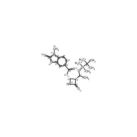 CC(O[Si](C)(C)C(C)(C)C)[C@H]1C(=O)N[C@@H]1CC(=O)c1ccc2c(c1)oc(=O)n2C